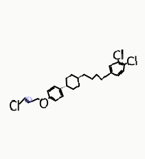 Cl/C=C/COc1ccc([C@H]2CC[C@H](CCCCc3ccc(Cl)c(Cl)c3)CC2)cc1